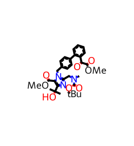 COC(=O)C(=O)c1ccccc1-c1ccc(Cn2c(CN(C)C(=O)OC(C)(C)C)nc(C(C)(C)O)c2C(=O)OC)cc1